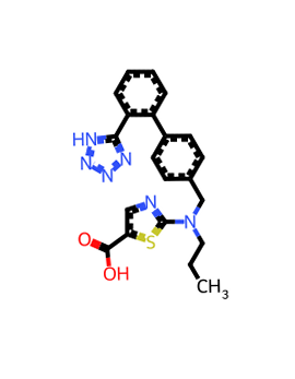 CCCN(Cc1ccc(-c2ccccc2-c2nnn[nH]2)cc1)c1ncc(C(=O)O)s1